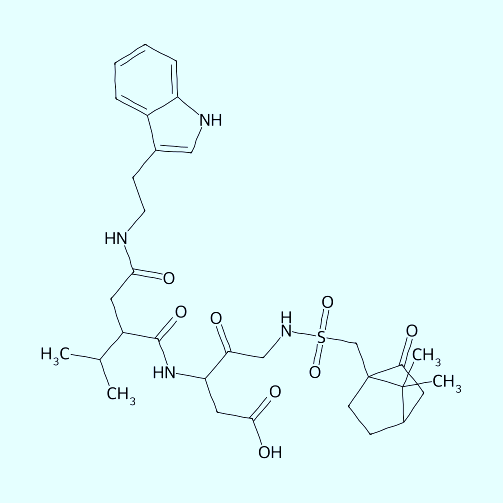 CC(C)C(CC(=O)NCCc1c[nH]c2ccccc12)C(=O)NC(CC(=O)O)C(=O)CNS(=O)(=O)CC12CCC(CC1=O)C2(C)C